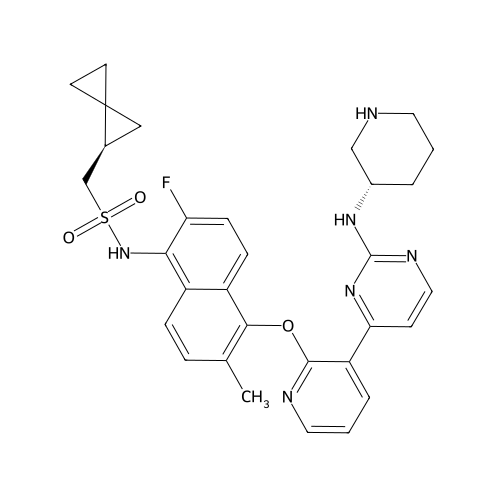 Cc1ccc2c(NS(=O)(=O)C[C@@H]3CC34CC4)c(F)ccc2c1Oc1ncccc1-c1ccnc(N[C@H]2CCCNC2)n1